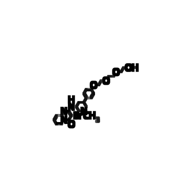 CN1CC(Nc2nc3ccccn3c(=O)c2Br)CC(c2ccc(OCCOCCOCCO)cc2)C1